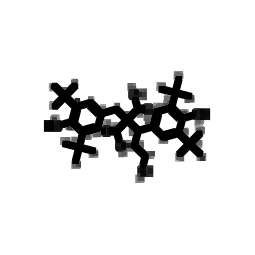 CC(C)(C)c1cc(CC(C(=O)O)(C(=O)O)C(CCS)c2cc(C(C)(C)C)c(O)c(C(C)(C)C)c2)cc(C(C)(C)C)c1O